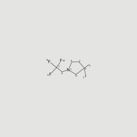 CC1(I)CCN(CC(F)(F)F)C1